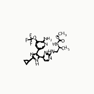 COC(=O)NC(C)CNc1nccc(-c2[nH]c(C3CC3)nc2-c2cnc(N)c(OC(F)(F)F)c2)n1